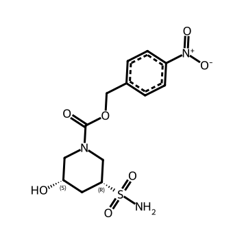 NS(=O)(=O)[C@@H]1C[C@H](O)CN(C(=O)OCc2ccc([N+](=O)[O-])cc2)C1